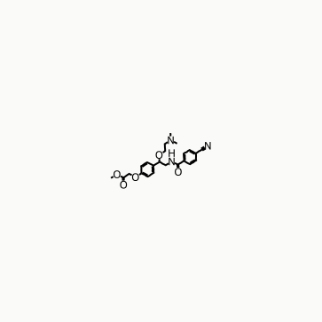 COC(=O)COc1ccc(C(CNC(=O)c2ccc(C#N)cc2)OCCN(C)C)cc1